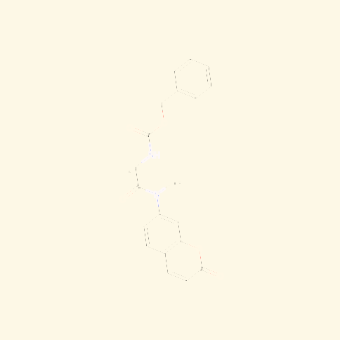 CCCCN(C(=O)[C@H](C)NC(=O)OCc1ccccc1)c1ccc2ccc(=O)oc2c1